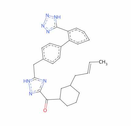 CC=CCC1CCCC(C(=O)c2n[nH]c(Cc3ccc(-c4ccccc4-c4nnn[nH]4)cc3)n2)C1